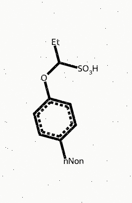 CCCCCCCCCc1ccc(OC(CC)S(=O)(=O)O)cc1